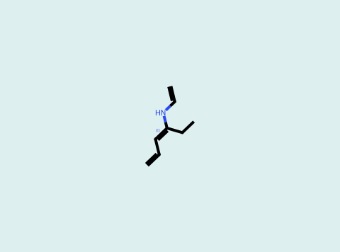 C=C/C=C(\CC)NC=C